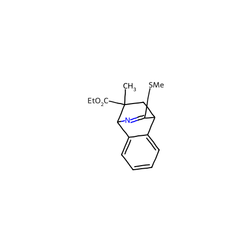 CCOC(=O)C1(C)CC2C(SC)=NC1c1ccccc12